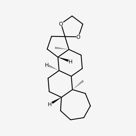 C[C@]12CCC3[C@@H](CC[C@H]4CCCCC[C@]34C)[C@@H]1CCC21OCCO1